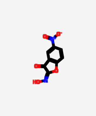 O=C1C(=NO)Oc2ccc([N+](=O)[O-])cc21